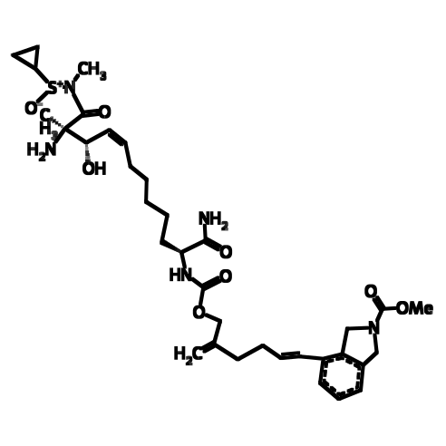 C=C(CC/C=C/c1cccc2c1CN(C(=O)OC)C2)COC(=O)N[C@@H](CCCCC/C=C\[C@H](O)[C@@](C)(N)C(=O)N(C)[S+]([O-])C1CC1)C(N)=O